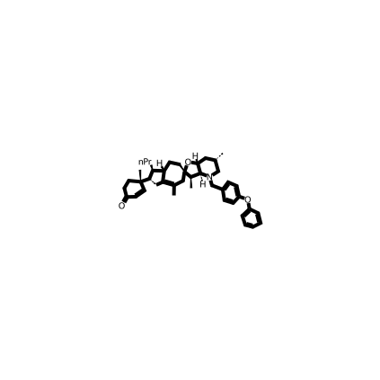 CCC[C@H]1[C@@H]2CC[C@@]3(CC(C)=C2C[C@@H]1[C@]1(C)C=CC(=O)CC1)O[C@@H]1C[C@H](C)CN(Cc2ccc(Oc4ccccc4)cc2)[C@H]1[C@H]3C